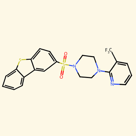 O=S(=O)(c1ccc2sc3ccccc3c2c1)N1CCN(c2ncccc2C(F)(F)F)CC1